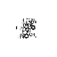 Cc1ccc2[nH]ncc2c1-c1nc(-c2ccccc2NC(=O)C(C)(C)C)c(N)c(C(N)=O)c1F